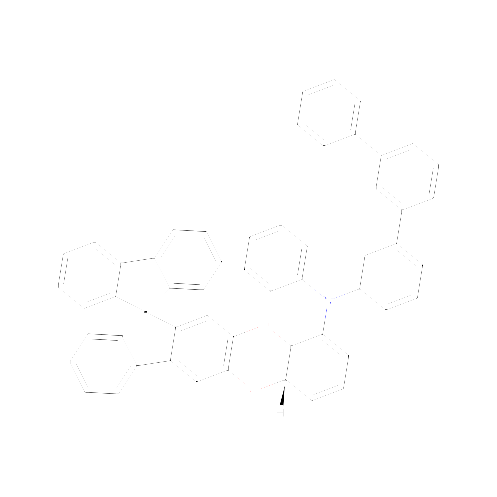 C1=CC(N(C2=CC=C[C@@H]3Oc4cc5c(cc4OC23)C2(c3ccccc3-c3ccccc32)c2ccccc2-5)c2ccccc2)CC(c2cccc(-c3ccccc3)c2)=C1